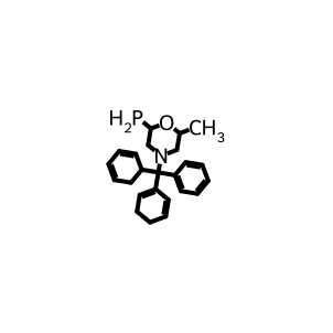 CC1CN(C(C2=CCCC=C2)(c2ccccc2)C2C=CC=CC2)CC(P)O1